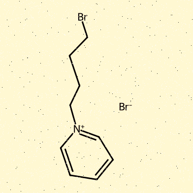 BrCCCC[n+]1ccccc1.[Br-]